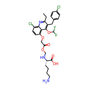 CCc1nc2c(Cl)ccc(OCC(=O)OCN[C@@H](CCCCN)C(=O)O)c2c(OC(F)F)c1Cc1ccc(Cl)cc1